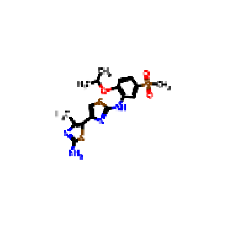 Cc1nc(N)sc1-c1csc(Nc2cc(S(C)(=O)=O)ccc2OC(C)C)n1